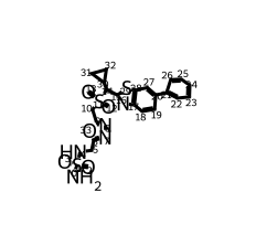 NS(=O)(=O)NCc1nnc(CS(=O)(=O)C(c2nc3ccc(-c4ccccc4)cc3s2)C2CC2)o1